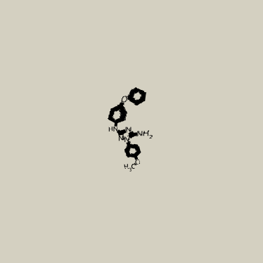 COc1ccc(-n2nc(Nc3ccc(Oc4ccccc4)cc3)nc2N)cc1